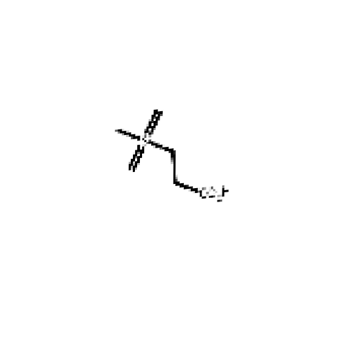 C=S(=C)(C)CCC(=O)O